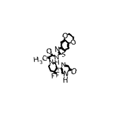 C[C@@H](C(=O)Nc1nc2cc3c(cc2s1)OCCO3)N1CCC(F)(F)[C@@H](c2c[nH]c(=O)cn2)C1